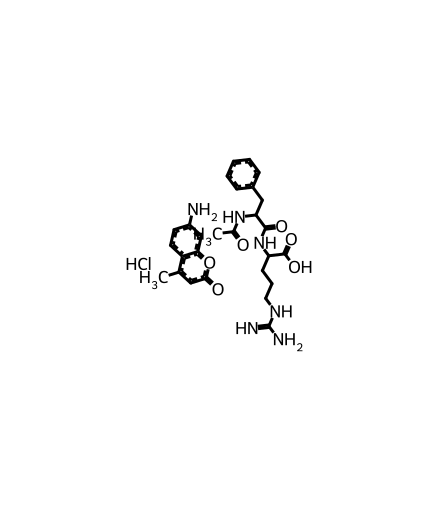 CC(=O)NC(Cc1ccccc1)C(=O)NC(CCCNC(=N)N)C(=O)O.Cc1cc(=O)oc2cc(N)ccc12.Cl